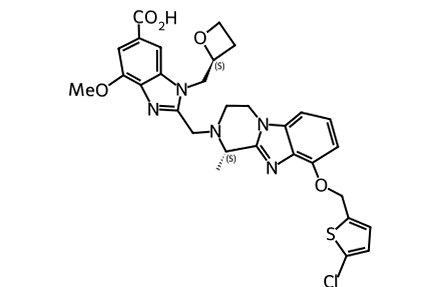 COc1cc(C(=O)O)cc2c1nc(CN1CCn3c(nc4c(OCc5ccc(Cl)s5)cccc43)[C@@H]1C)n2C[C@@H]1CCO1